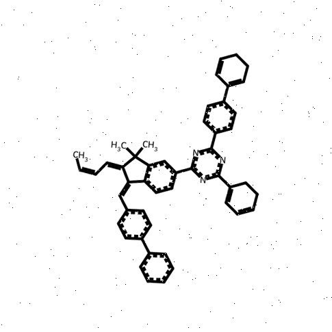 C\C=C/C=C1\C(=C\c2ccc(-c3ccccc3)cc2)c2ccc(-c3nc(C4=CC=CCC4)nc(-c4ccc(C5=CCCC=C5)cc4)n3)cc2C1(C)C